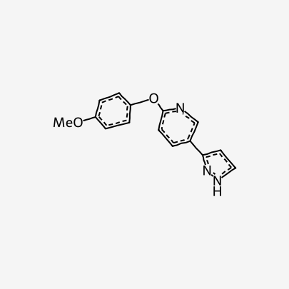 COc1ccc(Oc2ccc(-c3cc[nH]n3)cn2)cc1